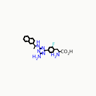 CC(Nc1nc(N)nc(-c2ccc(CC(N)C(=O)O)c(F)c2)n1)c1ccc2ccccc2c1